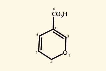 O=C(O)C1=COCC=C1